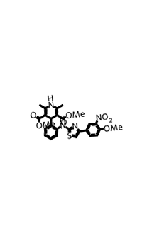 COC(=O)C1=C(C)NC(C)=C(C(=O)OC)C1c1ccccc1Nc1nc(-c2ccc(OC)c([N+](=O)[O-])c2)cs1